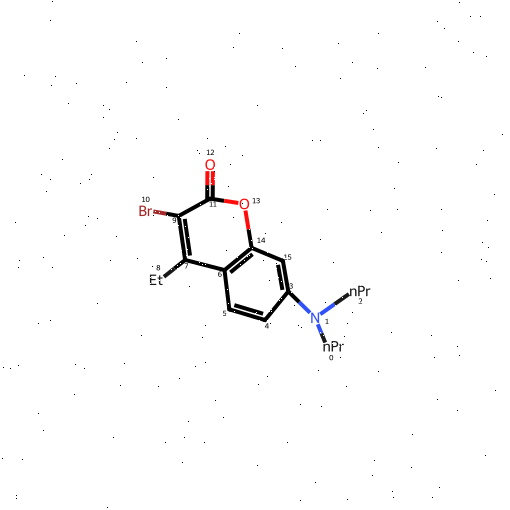 CCCN(CCC)c1ccc2c(CC)c(Br)c(=O)oc2c1